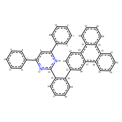 c1ccc(-c2cc(-c3ccccc3)nc(-c3ccccc3-c3ccc4c5ccccc5c5ccccc5c4c3)n2)cc1